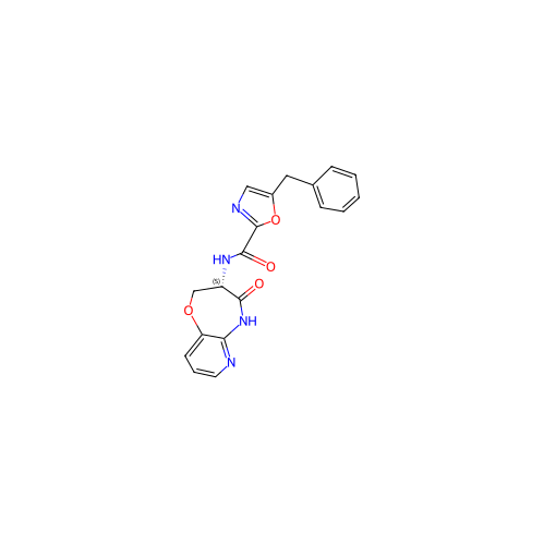 O=C(N[C@H]1COc2cccnc2NC1=O)c1ncc(Cc2ccccc2)o1